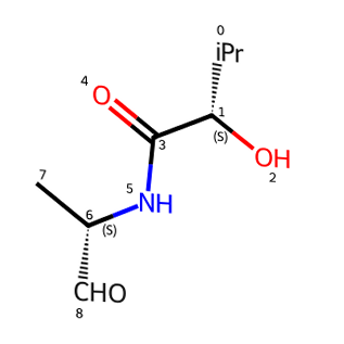 CC(C)[C@H](O)C(=O)N[C@@H](C)C=O